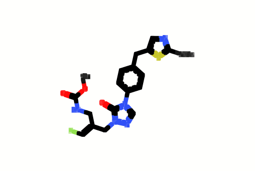 CC(=O)Nc1ncc(Cc2ccc(-n3cnn(CC(=CF)CNC(=O)OC(C)(C)C)c3=O)cc2)s1